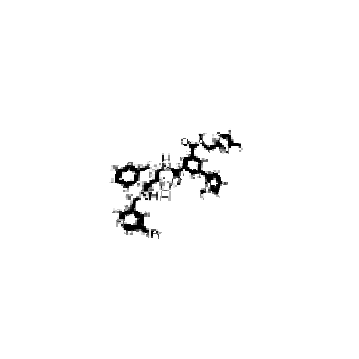 Cc1csc(CN(C)C(=O)c2cc(C(=O)N[C@@H](Cc3ccccc3)[C@H](O)CNCc3cncc(C(C)C)c3)cc(-c3cccn3C)c2)n1